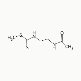 CSC(=S)NCCNC(C)=O